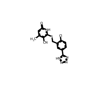 Cc1cc(=O)[nH]c(SCc2cc(-c3nnn[nH]3)ccc2Cl)c1C#N